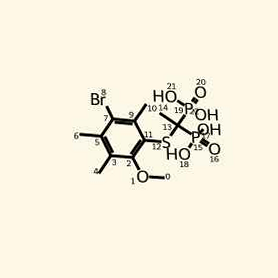 COc1c(C)c(C)c(Br)c(C)c1SC(C)(P(=O)(O)O)P(=O)(O)O